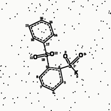 O=[S](=O)([K])c1ccccc1S(=O)(=O)c1ccccc1